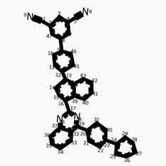 N#Cc1cc(C#N)cc(-c2ccc(-c3ccc(-c4nc(-c5ccc(-c6ccccc6)cc5)c5ccccc5n4)c4ccccc34)cc2)c1